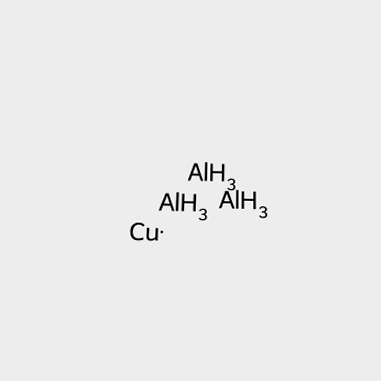 [AlH3].[AlH3].[AlH3].[Cu]